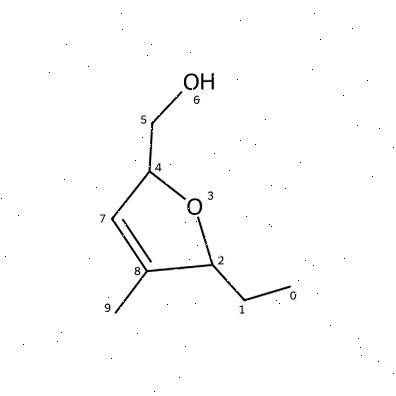 CCC1OC(CO)C=C1C